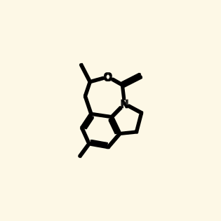 C=C1OC(C)Cc2cc(C)cc3c2N1CC3